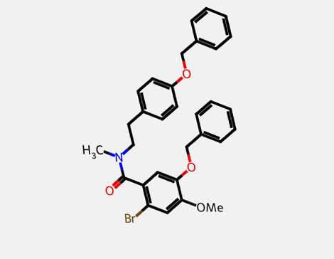 COc1cc(Br)c(C(=O)N(C)CCc2ccc(OCc3ccccc3)cc2)cc1OCc1ccccc1